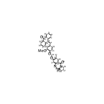 COc1cc(C=C2c3ccccc3C(=O)c3ccccc32)ccc1OCOc1cc2c(cc1C)C(=O)N1CCC[C@H]1C=N2